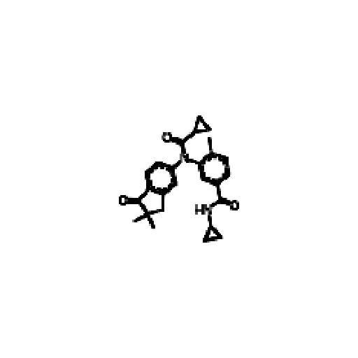 Cc1ccc(C(=O)NC2CC2)cc1N(C(=O)C1CC1)c1ccc2c(c1)CC(C)(C)C2=O